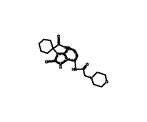 NC(=O)C1(n2c(=O)[nH]c3c(NC(=O)CN4CCOCC4)cccc32)CCCCC1